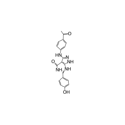 CC(=O)c1ccc(Nc2n[nH]c(NCc3ccc(O)cc3)c2C(N)=O)cc1